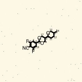 N#Cc1c(F)cc(C2OCC(C3CCC(I)CO3)CO2)cc1F